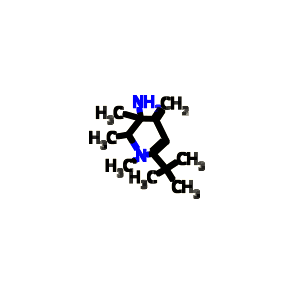 C=C1C=C(C(C)(C)C)N(C)C(C)C1(C)N